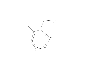 CCCCCCc1c(P)cccc1CC